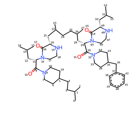 CC(C)CCC1CCN(C(=O)[C@H](CC(C)C)N2CCN[C@@H](CC(C)CCC(C)C[C@@H](C(=O)N3CCC(Cc4ccccc4)CC3)N3CCN[C@@H](CC(C)C)C3=O)C2=O)CC1